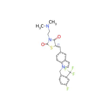 CN(C)CCN1C(=O)S/C(=C\c2ccc3c(ccn3Cc3ccc(F)cc3C(F)(F)F)c2)C1=O